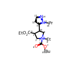 CCOC(=O)C1C[N+](CC)(C(=O)OC(C)(C)C)CC1c1ccnn1C(C)C